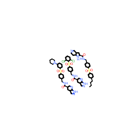 CCCCc1ccc(S(=O)(=O)c2ccc(CNC(=O)c3cc4cnccc4[nH]3)cc2)cc1.O=C(NCc1ccc(S(=O)(=O)c2c(Cl)cccc2Cl)cc1)c1cnc2[nH]ncc2c1.O=C(NCc1ccc(S(=O)(=O)c2cccc(N3CCCCC3)c2)cc1)c1cnc2[nH]ncc2c1